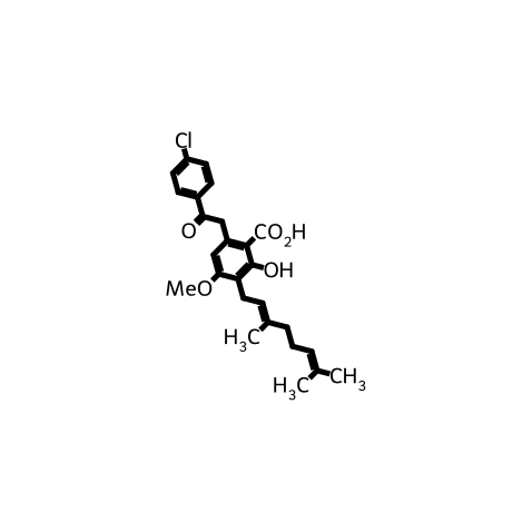 COc1cc(CC(=O)c2ccc(Cl)cc2)c(C(=O)O)c(O)c1C/C=C(\C)CCC=C(C)C